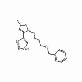 Cc1cc(-c2c[nH]cn2)n(CCCCOCc2ccccc2)n1